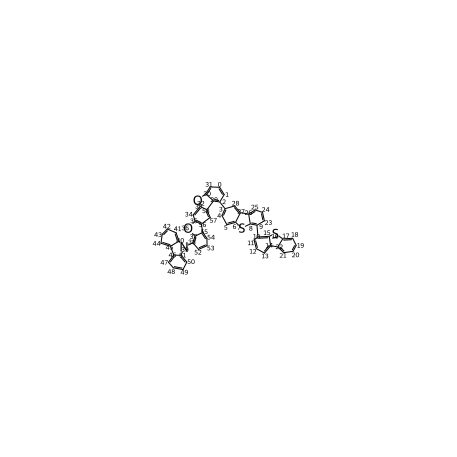 c1cc(-c2ccc3sc4c(-c5cccc6c5sc5ccccc56)cccc4c3c2)c2c(c1)oc1cc3oc4c(-n5c6ccccc6c6ccccc65)cccc4c3cc12